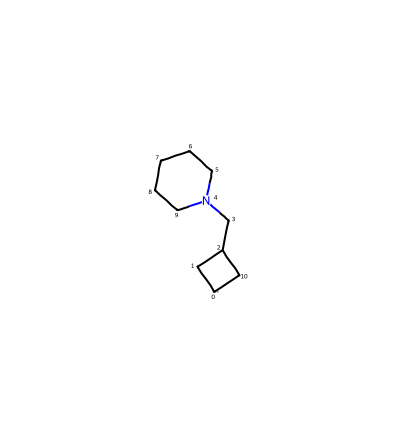 [CH]1CC(CN2CCCCC2)C1